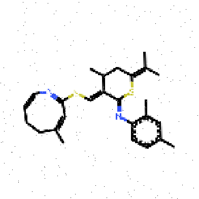 CC(C)=C1CC(C)C(=C\SC2=N/C=C\CC/C(C)=C\2)/C(=N/c2ccc(C)cc2C)S1